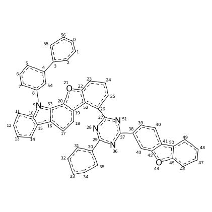 c1ccc(-c2cccc(-n3c4ccccc4c4ccc5c(oc6cccc(-c7nc(-c8ccccc8)nc(-c8ccc9c(c8)oc8ccccc89)n7)c65)c43)c2)cc1